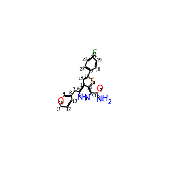 NC(=O)c1nnc(CC2=COCC=C2)c2cc(-c3ccc(F)cc3)sc12